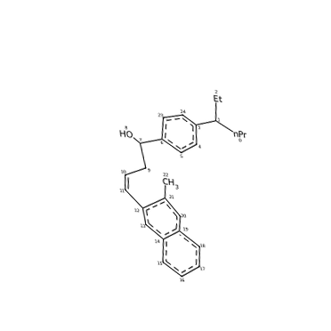 CCCC(CC)c1ccc(C(O)C/C=C\c2cc3ccccc3cc2C)cc1